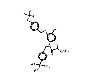 COC(=O)C(=O)N(Cc1ccc(C(C)(C)C)cc1)c1ccc(Cl)c(OCc2ccc(OC(F)(F)F)cc2)c1